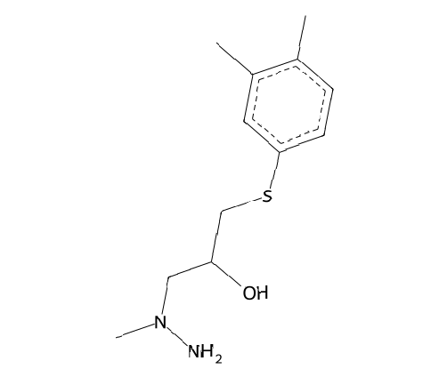 Cc1ccc(SCC(O)CN(C)N)cc1C